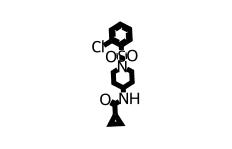 O=C(NC1CCN(S(=O)(=O)c2ccccc2Cl)CC1)C1CC1